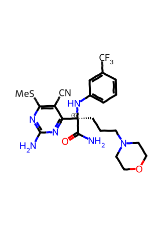 CSc1nc(N)nc([C@@](CCCN2CCOCC2)(Nc2cccc(C(F)(F)F)c2)C(N)=O)c1C#N